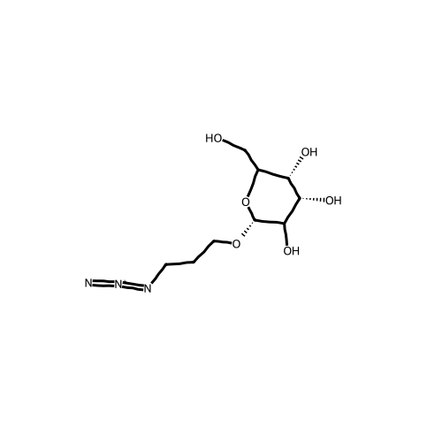 [N-]=[N+]=NCCCO[C@@H]1OC(CO)[C@H](O)[C@H](O)C1O